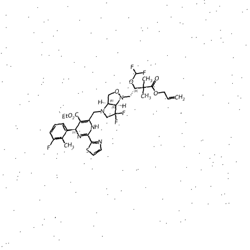 C=CCOC(=O)C(C)(C)[C@H](CN1OC[C@H]2[C@@H]1C(F)(F)CN2CC1=C(C(=O)OCC)[C@H](c2cccc(F)c2C)N=C(c2nccs2)N1)OC(F)F